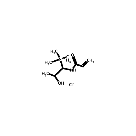 C=CC(=O)NC(C(C)O)[N+](C)(C)C.[Cl-]